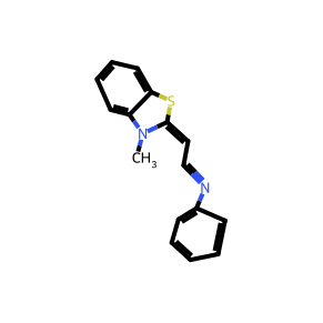 CN1C(=CC=Nc2ccccc2)Sc2ccccc21